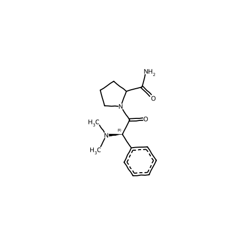 CN(C)[C@@H](C(=O)N1CCCC1C(N)=O)c1ccccc1